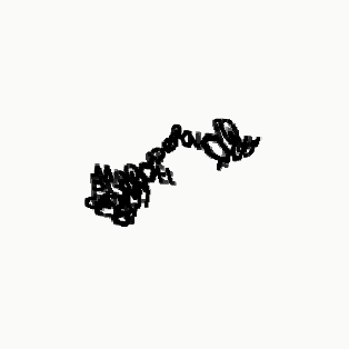 CCc1cc(Nc2ncc(Br)c(Nc3cnc4ccccc4c3P(C)(C)=O)n2)c(OC)cc1N1CCC(N2CCN(C(=O)C3CCN(c4cc(F)c(C5CCC(=O)NC5=O)c(F)c4)CC3)CC2)CC1